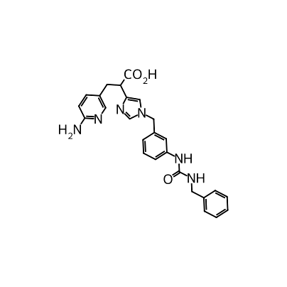 Nc1ccc(CC(C(=O)O)c2cn(Cc3cccc(NC(=O)NCc4ccccc4)c3)cn2)cn1